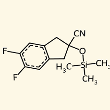 C[Si](C)(C)OC1(C#N)Cc2cc(F)c(F)cc2C1